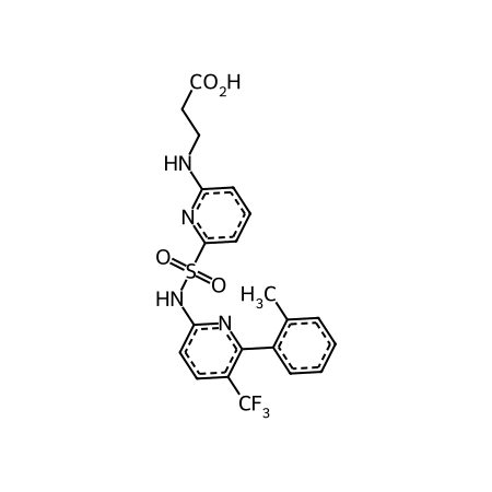 Cc1ccccc1-c1nc(NS(=O)(=O)c2cccc(NCCC(=O)O)n2)ccc1C(F)(F)F